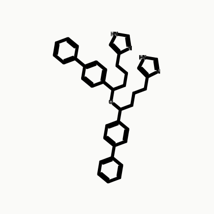 c1ccc(-c2ccc(C(CCCc3c[nH]cn3)OC(CCCc3c[nH]cn3)c3ccc(-c4ccccc4)cc3)cc2)cc1